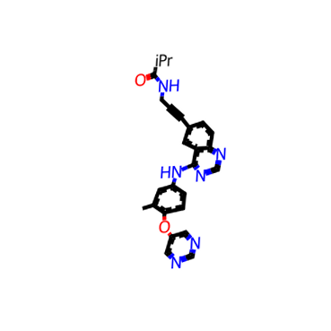 Cc1cc(Nc2ncnc3ccc(C#CCNC(=O)C(C)C)cc23)ccc1Oc1cncnc1